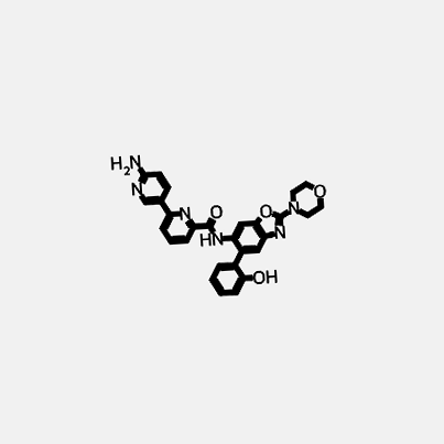 Nc1ccc(-c2cccc(C(=O)Nc3cc4oc(N5CCOCC5)nc4cc3-c3ccccc3O)n2)cn1